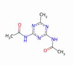 CC(=O)Nc1nc(C)nc(NC(C)=O)n1